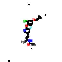 CC(=O)N[C@@H](C)/C=C/c1cnc(Oc2ccc(OCC3CC3)cc2Cl)c(F)c1